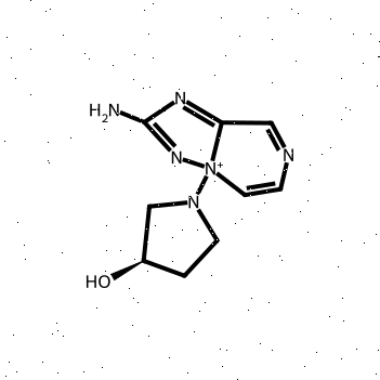 NC1=N[N+]2(N3CC[C@@H](O)C3)C=CN=CC2=N1